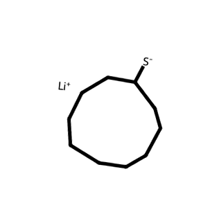 [Li+].[S-]C1CCCCCCCCC1